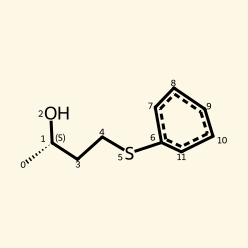 C[C@H](O)CCSc1ccccc1